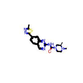 Cc1nnc(-c2ccc3cnc(NC(=O)N4CCN(C)[C@H](C)C4)nc3c2)s1